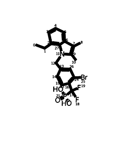 CCc1cccc2c(C)c(C)n(Cc3ccc(C(F)(F)P(=O)(O)O)c(Br)c3)c12